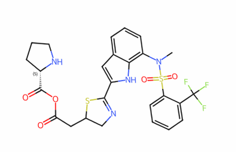 CN(c1cccc2cc(C3=NCC(CC(=O)OC(=O)[C@@H]4CCCN4)S3)[nH]c12)S(=O)(=O)c1ccccc1C(F)(F)F